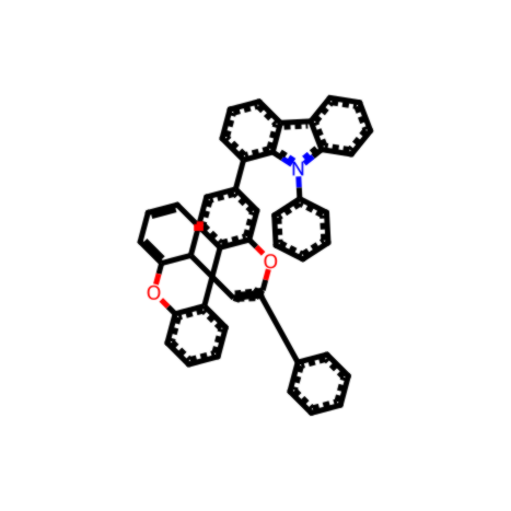 C1=CCC2C(=C1)Oc1ccccc1C21c2ccc(-c3ccccc3)cc2Oc2cc(-c3cccc4c5ccccc5n(-c5ccccc5)c34)ccc21